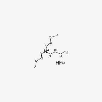 CCCCN(CCCC)CCCC.F